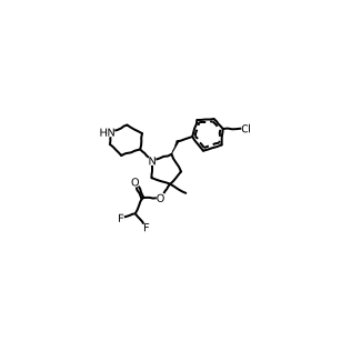 CC1(OC(=O)C(F)F)C[C@H](Cc2ccc(Cl)cc2)N(C2CCNCC2)C1